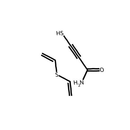 C=CSC=C.NC(=O)C#CS